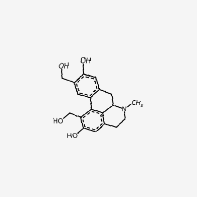 CN1CCc2cc(O)c(CO)c3c2C1Cc1cc(O)c(CO)cc1-3